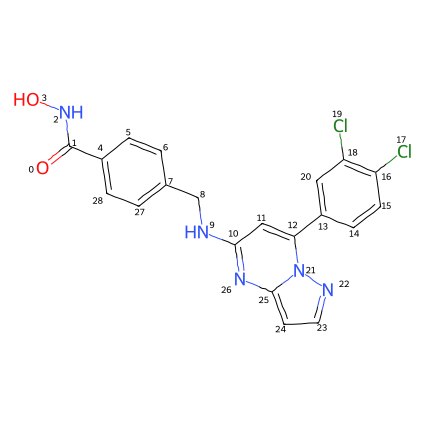 O=C(NO)c1ccc(CNc2cc(-c3ccc(Cl)c(Cl)c3)n3nccc3n2)cc1